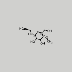 C#CCN[C@@H]1O[C@@H](CO)[C@@H](OC)C(O)C1O